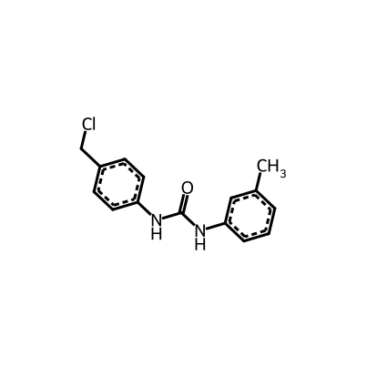 Cc1cccc(NC(=O)Nc2ccc(CCl)cc2)c1